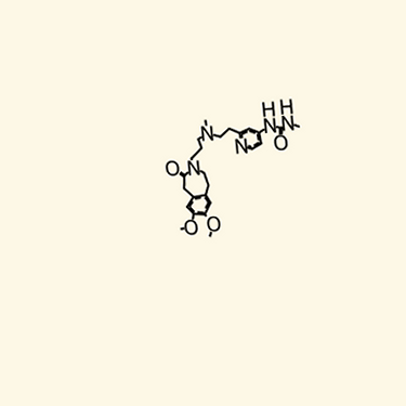 CNC(=O)Nc1ccnc(CCN(C)CCCN2CCc3cc(OC)c(OC)cc3CC2=O)c1